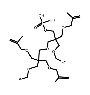 C=C(C)COCC(COCC(=C)C)(COCC(C)=O)COCC(COCC(=C)C)(COCC(C)=O)COP(=O)(O)O